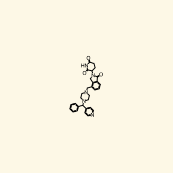 O=C1CCC(N2Cc3c(CN4CCN(C(c5ccccc5)c5ccncc5)CC4)cccc3C2=O)C(=O)N1